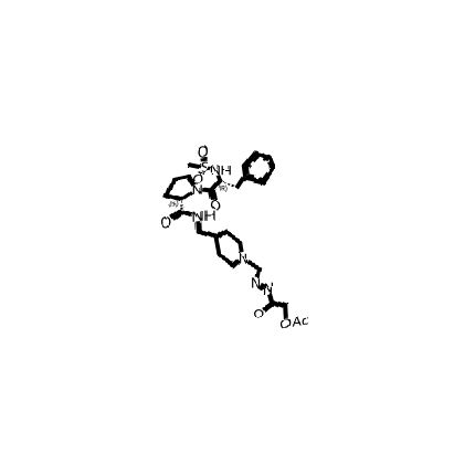 CC(=O)OCC(=O)N=NCN1CCC(CNC(=O)[C@@H]2CCCN2C(=O)[C@@H](Cc2ccccc2)NS(C)(=O)=O)CC1